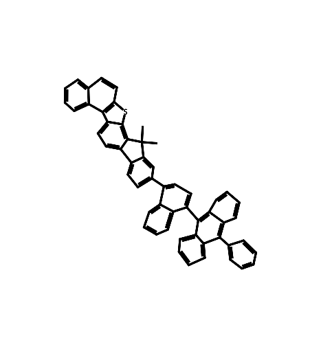 CC1(C)c2cc(-c3ccc(-c4c5ccccc5c(-c5ccccc5)c5ccccc45)c4ccccc34)ccc2-c2ccc3c(sc4ccc5ccccc5c43)c21